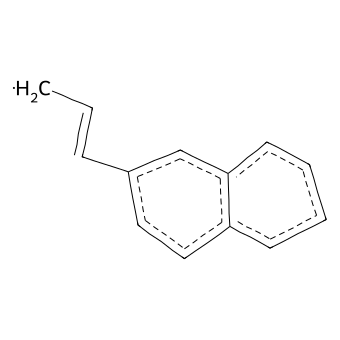 [CH2]C=Cc1ccc2ccccc2c1